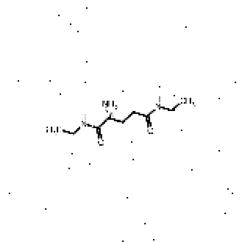 CCNC(=O)CC[C@@H](N)C(=O)NCC